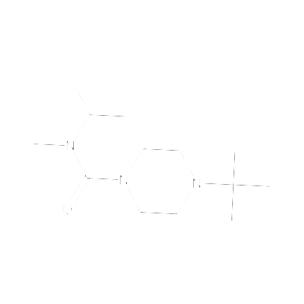 CC(C)N(C)C(=O)N1CCN(C(C)(C)C)CC1